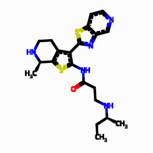 CC[C@H](C)NCCC(=O)Nc1sc2c(c1-c1nc3cnccc3s1)CCN[C@@H]2C